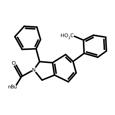 CCCCC(=O)N1Cc2ccc(-c3ccccc3C(=O)O)cc2C1c1ccccc1